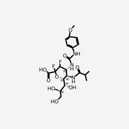 COc1ccc(NC(=O)N[C@H]2C(F)C(F)(C(=O)O)O[C@@H]([C@H](O)[C@H](O)CO)[C@@H]2NC(=O)C(C)C)cc1